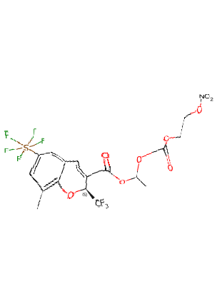 Cc1cc(S(F)(F)(F)(F)F)cc2c1O[C@H](C(F)(F)F)C(C(=O)OC(C)OC(=O)OCCO[N+](=O)[O-])=C2